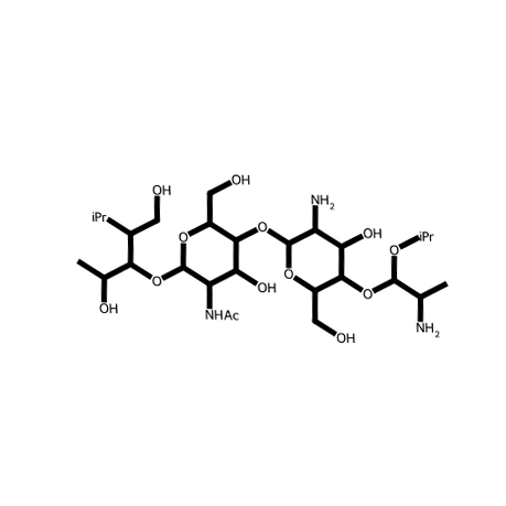 CC(=O)NC1C(OC(C(C)O)C(CO)C(C)C)OC(CO)C(OC2OC(CO)C(OC(OC(C)C)C(C)N)C(O)C2N)C1O